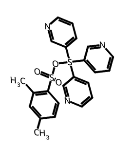 Cc1ccc(S(=O)(=O)OS(c2cccnc2)(c2cccnc2)c2cccnc2)c(C)c1